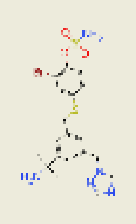 CC(C)(N)c1cc(CSc2ccc(OS(N)(=O)=O)c(Br)c2)cc(Cn2cncn2)c1